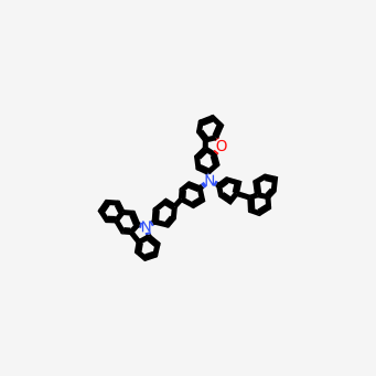 c1ccc2cc3c(cc2c1)c1ccccc1n3-c1ccc(-c2ccc(N(c3ccc(-c4cccc5ccccc45)cc3)c3ccc4c(c3)oc3ccccc34)cc2)cc1